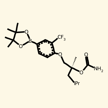 CC(C)C[C@@](C)(COc1ccc(B2OC(C)(C)C(C)(C)O2)cc1C(F)(F)F)OC(N)=O